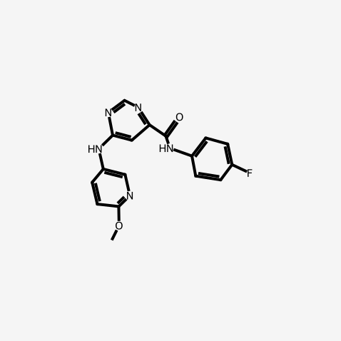 COc1ccc(Nc2cc(C(=O)Nc3ccc(F)cc3)ncn2)cn1